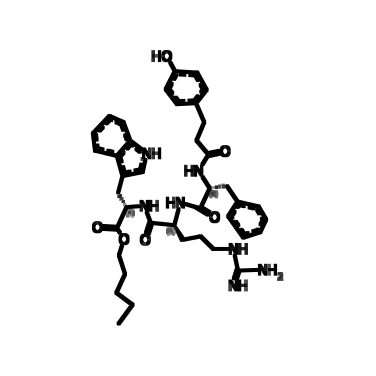 CCCCCOC(=O)[C@H](Cc1c[nH]c2ccccc12)NC(=O)[C@H](CCCNC(=N)N)NC(=O)[C@@H](Cc1ccccc1)NC(=O)CCc1ccc(O)cc1